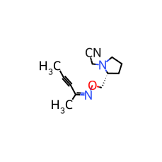 CC#C/C(C)=N\OC[C@H]1CCCN1CC#N